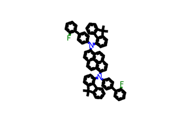 CC1(C)c2ccccc2-c2c(N(c3ccc(-c4ccccc4F)cc3)c3ccc4ccc5c(N(c6ccc(-c7ccccc7F)cc6)c6cccc7c6-c6ccccc6C7(C)C)ccc6ccc3c4c65)cccc21